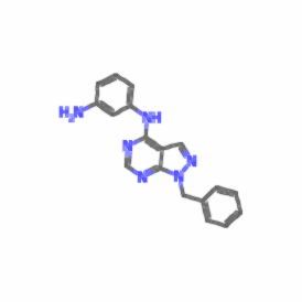 Nc1cccc(Nc2ncnc3c2cnn3Cc2ccccc2)c1